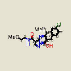 COCCNC(=O)c1cnn2c(O)c(Cc3ccc(Cl)cc3)c(COC)nc12